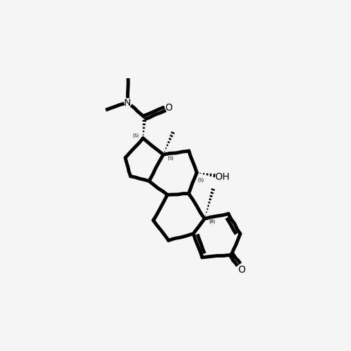 CN(C)C(=O)[C@H]1CCC2C3CCC4=CC(=O)C=C[C@]4(C)C3[C@@H](O)C[C@@]21C